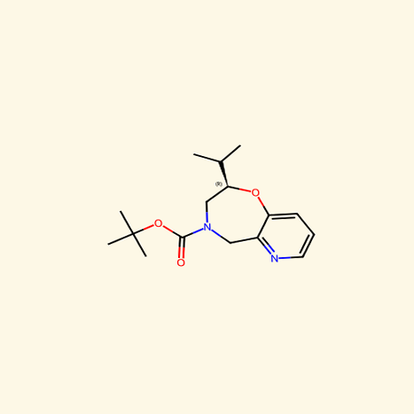 CC(C)[C@@H]1CN(C(=O)OC(C)(C)C)Cc2ncccc2O1